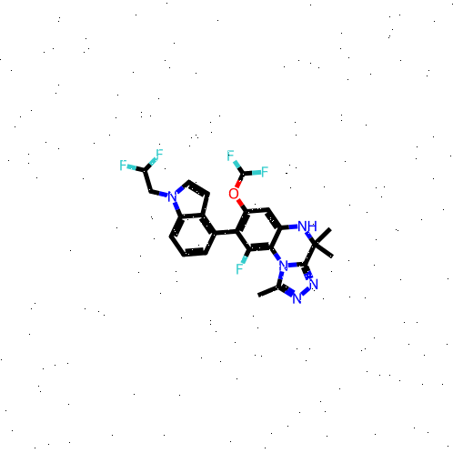 Cc1nnc2n1-c1c(cc(OC(F)F)c(-c3cccc4c3ccn4CC(F)F)c1F)NC2(C)C